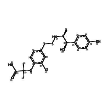 C[C@H](NCCc1ccc(OC(C)(C)C(=O)O)c(Cl)c1)[C@H](O)c1ccc(O)cc1